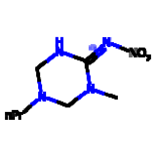 CCCN1CN/C(=N/[N+](=O)[O-])N(C)C1